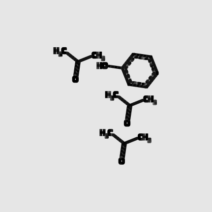 CC(C)=O.CC(C)=O.CC(C)=O.Oc1ccccc1